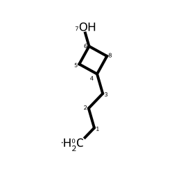 [CH2]CCCC1CC(O)C1